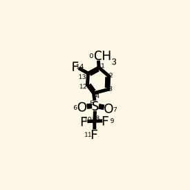 Cc1ccc(S(=O)(=O)C(F)(F)F)cc1F